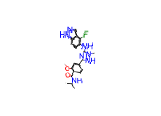 COc1cc(C2N=C(Nc3ccc4[nH]ncc4c3F)N(C)N2)ccc1C(=O)NC(C)C